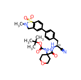 CN1Cc2cc(-c3ccc(C[C@@H](C#N)NC(=O)C4(NC(=O)OC(C)(C)C)CCOCC4)cc3)ccc2S1(=O)=O